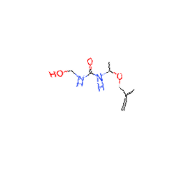 C=C(C)COC(C)NC(=O)NCO